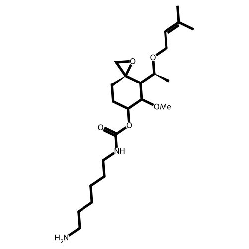 COC1C(OC(=O)NCCCCCCN)CC[C@]2(CO2)C1[C@H](C)OCC=C(C)C